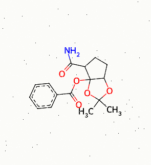 CC1(C)OC2CCC(C(N)=O)C2(OC(=O)c2ccccc2)O1